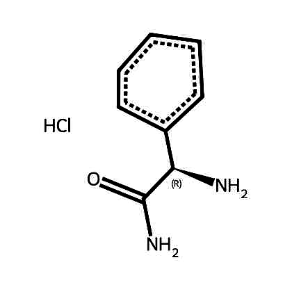 Cl.NC(=O)[C@H](N)c1ccccc1